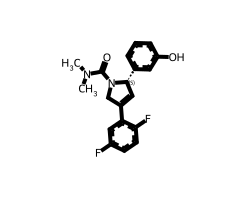 CN(C)C(=O)N1CC(c2cc(F)ccc2F)=C[C@H]1c1cccc(O)c1